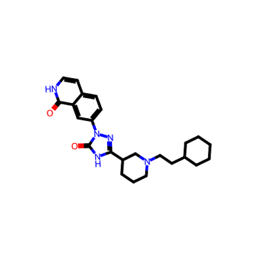 O=c1[nH]ccc2ccc(-n3nc(C4CCCN(CCC5CCCCC5)C4)[nH]c3=O)cc12